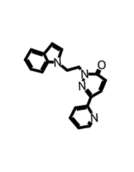 O=c1ccc(-c2ccccn2)nn1CCn1ccc2ccccc21